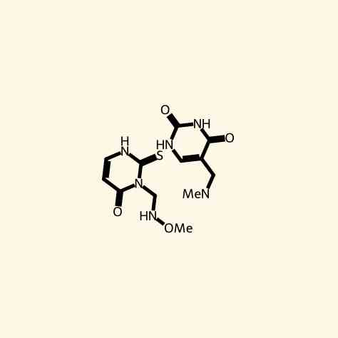 CNCc1c[nH]c(=O)[nH]c1=O.CONCn1c(=O)cc[nH]c1=S